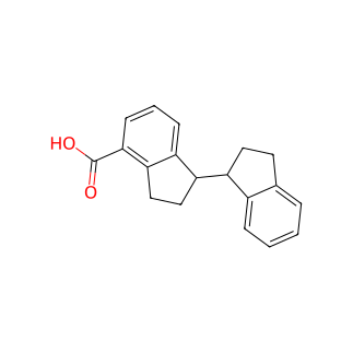 O=C(O)c1cccc2c1CCC2C1CCc2ccccc21